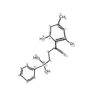 Cc1cc(C)c(C(=O)CC[PH](O)(O)c2ccccc2)c(C)c1